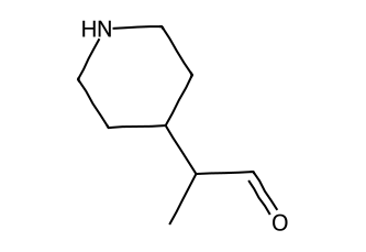 CC(C=O)C1CCNCC1